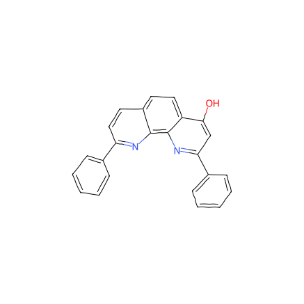 Oc1cc(-c2ccccc2)nc2c1ccc1ccc(-c3ccccc3)nc12